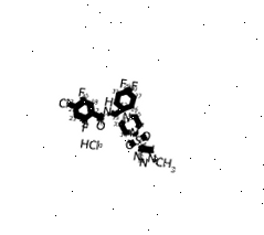 Cl.Cn1cc(S(=O)(=O)N2CCN(C3(CNC(=O)c4cc(F)c(Cl)cc4F)CCC(F)(F)CC3)CC2)nn1